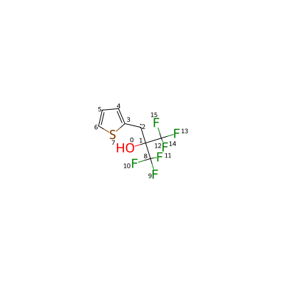 OC([CH]c1cccs1)(C(F)(F)F)C(F)(F)F